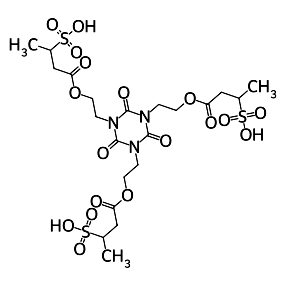 CC(CC(=O)OCCn1c(=O)n(CCOC(=O)CC(C)S(=O)(=O)O)c(=O)n(CCOC(=O)CC(C)S(=O)(=O)O)c1=O)S(=O)(=O)O